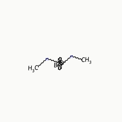 CCCCCCCC/C=C\CCCCCCC[CH](n1cccc1)[Zr]([Br])([Br])[CH](CCCCCCC/C=C\CCCCCCCC)n1cccc1